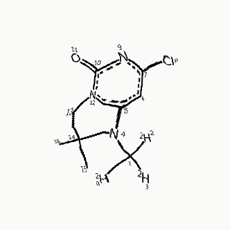 [2H]C([2H])([2H])N1c2cc(Cl)nc(=O)n2CC1(C)C